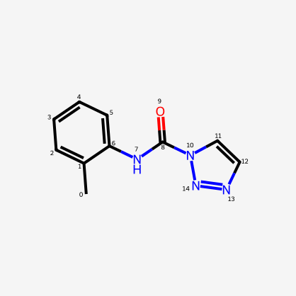 Cc1ccccc1NC(=O)n1ccnn1